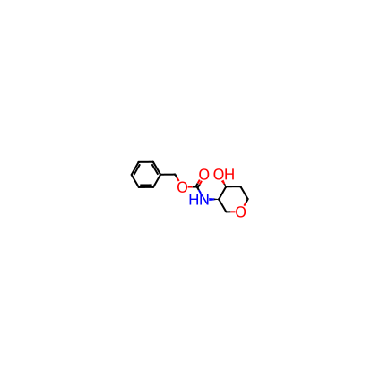 O=C(N[C@@H]1COCC[C@@H]1O)OCc1ccccc1